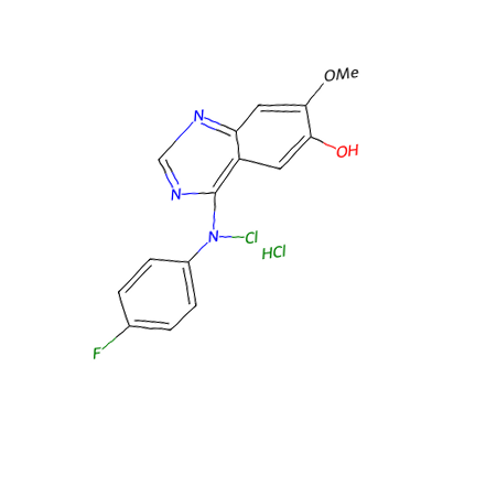 COc1cc2ncnc(N(Cl)c3ccc(F)cc3)c2cc1O.Cl